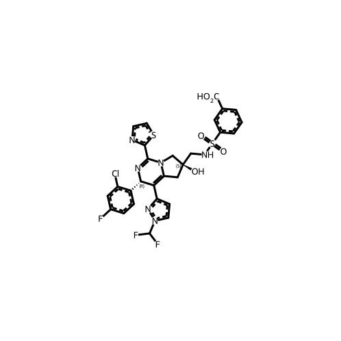 O=C(O)c1cccc(S(=O)(=O)NC[C@]2(O)CC3=C(c4ccn(C(F)F)n4)[C@H](c4ccc(F)cc4Cl)N=C(c4nccs4)N3C2)c1